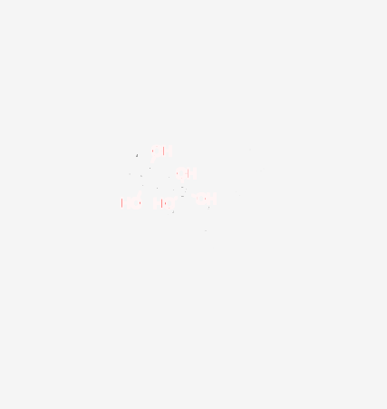 C=Cc1ccc(-c2ccccc2)cc1.CC(C)(O)C(C)(C)O.OB(O)O